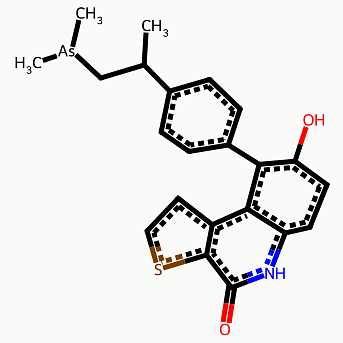 CC(C[As](C)C)c1ccc(-c2c(O)ccc3[nH]c(=O)c4sccc4c23)cc1